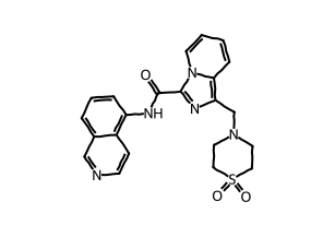 O=C(Nc1cccc2cnccc12)c1nc(CN2CCS(=O)(=O)CC2)c2ccccn12